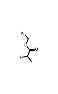 CC(C)COC(=O)C(C)F